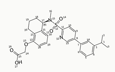 CC(C)c1cccc(-c2ccc(S(=O)(=O)N(C)[C@@H]3CCCc4c(OCC(=O)O)cccc43)nc2)c1